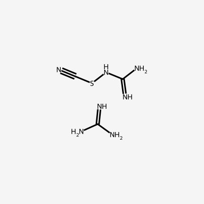 N#CSNC(=N)N.N=C(N)N